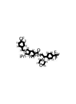 CC(C)[C@H]1c2ncc(C(=O)NCC(c3ccc(C(C)(F)F)cc3)N3CCOCC3)cc2CN1Cc1ccc(C(F)(F)F)cc1